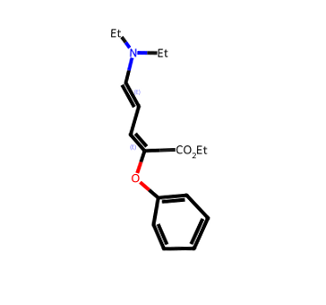 CCOC(=O)/C(=C\C=C\N(CC)CC)Oc1ccccc1